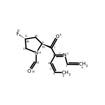 C=C/N=C(\C=C/C)C(=O)[C@@H]1C[C@@H](F)CN1C=O